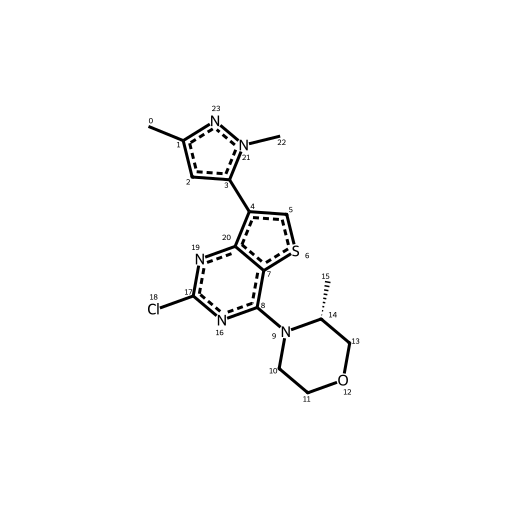 Cc1cc(-c2csc3c(N4CCOC[C@H]4C)nc(Cl)nc23)n(C)n1